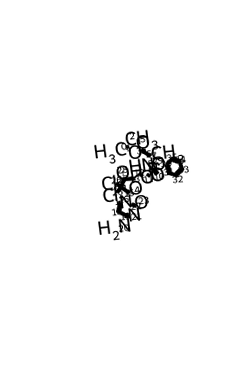 CC(C)OC(=O)[C@@H](C)N[P@](=O)(OC[C@H]1O[C@@H](n2ccc(N)nc2=O)C(Cl)(Cl)[C@@H]1O)Oc1ccccc1